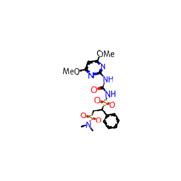 COc1cc(OC)nc(NC(=O)NS(=O)(=O)C(CS(=O)(=O)N(C)C)c2ccccc2)n1